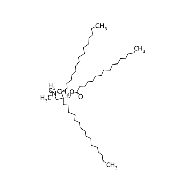 CCCCCCCCCCCCCCCCC(CCCCCCCCCCCCCCCC)(COC(=O)CCCCCCCCCCCCCCC)C[N+](C)(C)C